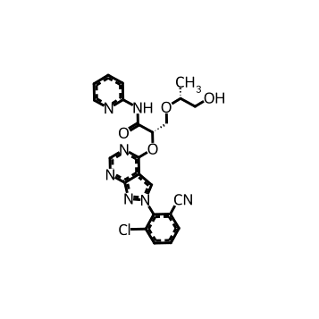 C[C@H](CO)OC[C@H](Oc1ncnc2nn(-c3c(Cl)cccc3C#N)cc12)C(=O)Nc1ccccn1